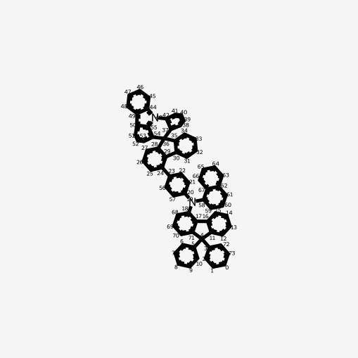 c1ccc(C2(c3ccccc3)c3ccccc3-c3c(N(c4ccc(-c5cccc6c5-c5ccccc5C65c6ccccc6-n6c7ccccc7c7cccc5c76)cc4)c4cccc5ccccc45)cccc32)cc1